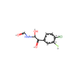 O=CNC(O)C(=O)c1ccc(Cl)c(F)c1